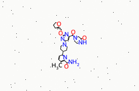 Cc1ccc(C2CCN(c3cc(C(=O)N4CCNC(=O)C4)nc(OC[C@H]4CCCO4)n3)CC2)nc1C(N)=O